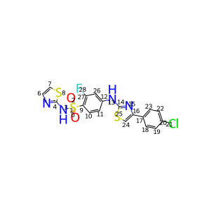 O=S(=O)(Nc1nccs1)c1ccc(Nc2nc(-c3ccc(Cl)cc3)cs2)cc1F